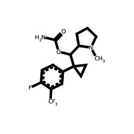 CN1CCCC1C(OC(N)=O)C1(c2ccc(F)c(C(F)(F)F)c2)CC1